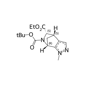 CCOC(=O)[C@@H]1[C@H]2C[C@H](c3c2cnn3C)N1C(=O)OC(C)(C)C